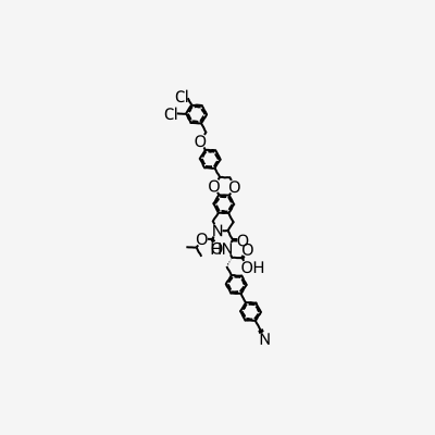 CC(C)OC(=O)N1Cc2cc3c(cc2CC1C(=O)N[C@@H](Cc1ccc(-c2ccc(C#N)cc2)cc1)C(=O)O)OCC(c1ccc(OCc2ccc(Cl)c(Cl)c2)cc1)O3